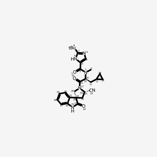 CN(C(=O)c1cnc(C(C)(C)C)[nH]1)[C@@H](CC1CC1)C(=O)N1C[C@]2(C[C@H]1C#N)C(=O)Nc1ccccc12